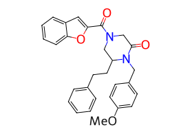 COc1ccc(CN2C(=O)CN(C(=O)c3cc4ccccc4o3)CC2CCc2ccccc2)cc1